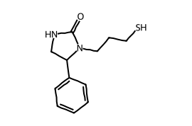 O=C1NCC(c2ccccc2)N1CCCS